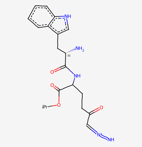 CC(C)OC(=O)C(CCC(=O)C=[N+]=N)NC(=O)[C@@H](N)Cc1c[nH]c2ccccc12